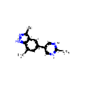 CC(=O)c1n[nH]c2c(C)cc(-c3cnc(C)nc3)cc12